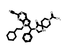 CC(=O)N1CCC2(CC1)NCN(C(c1ccccc1)c1cc3cnc(C#N)nc3n1CCC1CCCCC1)C2=O